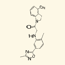 Cc1noc(-c2ccc(C)c(NCC(=O)N3CCc4c(O)cccc43)c2)n1